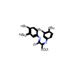 CCCCCCCCC(=Nc1ccc(CCCC)c(CCCC)c1)C(CC)=Nc1ccc(CCCC)c(CCCC)c1